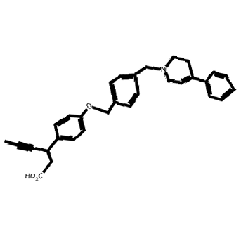 CC#CC(CC(=O)O)c1ccc(OCc2ccc(CN3CC=C(c4ccccc4)CC3)cc2)cc1